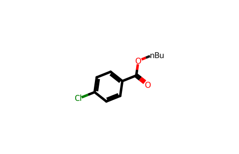 CCCCOC(=O)c1ccc(Cl)cc1